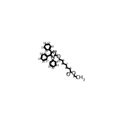 CCOC(=O)CCCCCCOc1nc(-c2ccccc2)c(-c2ccccc2)n1-c1ccccc1